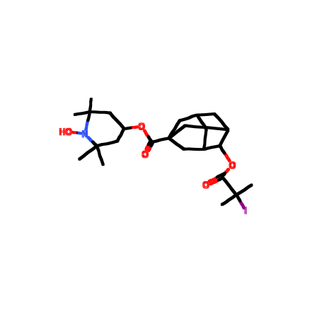 CC(C)(I)C(=O)OC1C2CC3CC1CC(C(=O)OC1CC(C)(C)N(O)C(C)(C)C1)(C3)C2